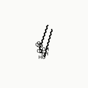 CCCCCCCCCCCC(=O)O[C@H](CO)[C@H]1OC[C@H](O)[C@H]1O.CCCCCCCCCCCCCCCCO